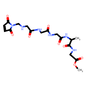 COC(=O)CNC(=O)C(C)NC(=O)CNC(=O)CNC(=O)CNCN1C(=O)C=CC1=O